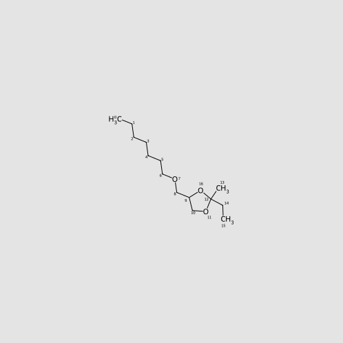 CCCCCCCOCC1COC(C)(CC)O1